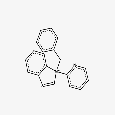 [C]1=C[N+](Cc2ccccc2)(c2ccccn2)c2ccccc21